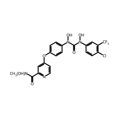 CN(O)C(=O)c1cc(Oc2ccc(N(O)C(=O)N(O)c3ccc(Cl)c(C(F)(F)F)c3)cc2)ccn1